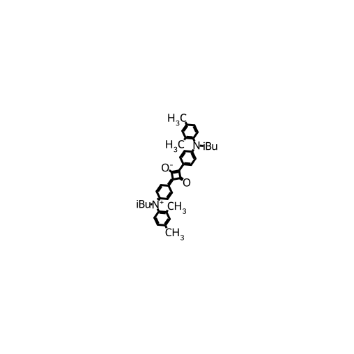 CCC(C)N(c1ccc(C2=C([O-])C(=C3C=CC(=[N+](c4ccc(C)cc4C)C(C)CC)C=C3)C2=O)cc1)c1ccc(C)cc1C